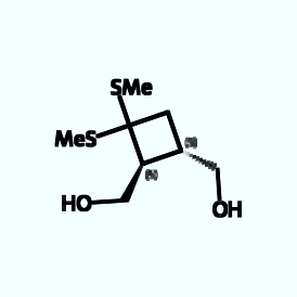 CSC1(SC)C[C@H](CO)[C@H]1CO